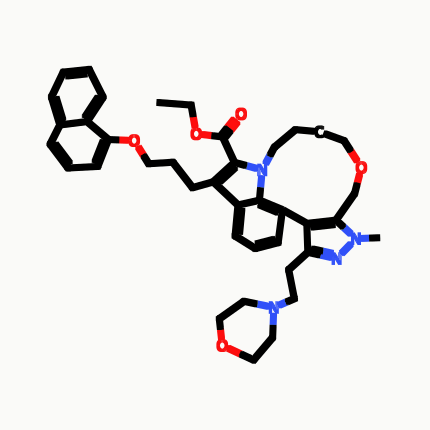 CCOC(=O)c1c(CCCOc2cccc3ccccc23)c2cccc3c2n1CCCCOCc1c-3c(CCN2CCOCC2)nn1C